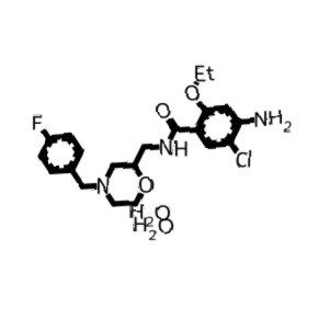 CCOc1cc(N)c(Cl)cc1C(=O)NCC1CN(Cc2ccc(F)cc2)CCO1.O.O